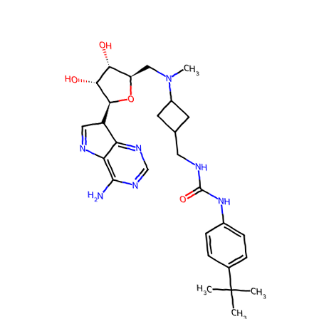 CN(C[C@H]1O[C@@H](C2C=Nc3c(N)ncnc32)[C@H](O)[C@@H]1O)C1CC(CNC(=O)Nc2ccc(C(C)(C)C)cc2)C1